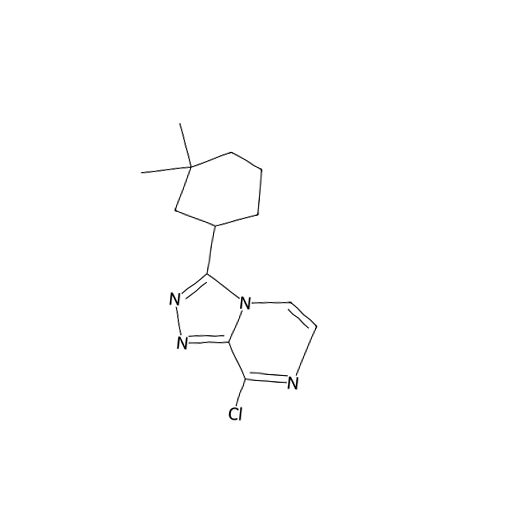 CC1(C)CCCC(c2nnc3c(Cl)nccn23)C1